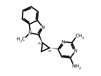 Cc1nc(N)cc([C@@H]2C[C@H]2c2nc3ccccc3n2C)n1